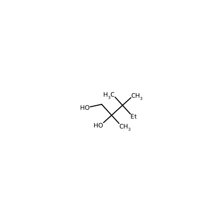 CCC(C)(C)C(C)(O)CO